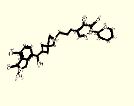 CN1Cc2c(C(O)C3CC4(C3)CN(CCCc3cnn(C5CCCCO5)c(=O)c3Cl)C4)ccc(Cl)c2C1=O